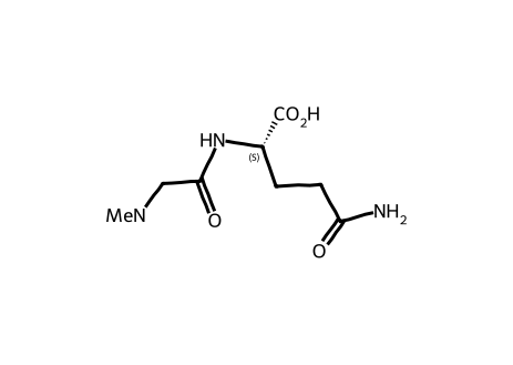 CNCC(=O)N[C@@H](CCC(N)=O)C(=O)O